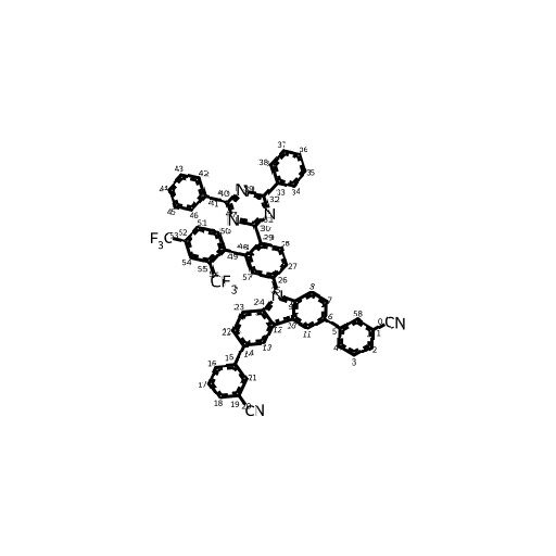 N#Cc1cccc(-c2ccc3c(c2)c2cc(-c4cccc(C#N)c4)ccc2n3-c2ccc(-c3nc(-c4ccccc4)nc(-c4ccccc4)n3)c(-c3ccc(C(F)(F)F)cc3C(F)(F)F)c2)c1